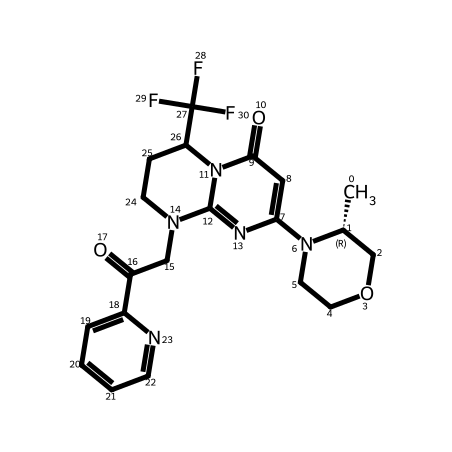 C[C@@H]1COCCN1c1cc(=O)n2c(n1)N(CC(=O)c1ccccn1)CCC2C(F)(F)F